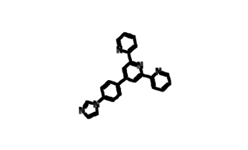 c1ccc(-c2cc(-c3ccc(-n4ccnc4)cc3)cc(-c3ccccn3)n2)nc1